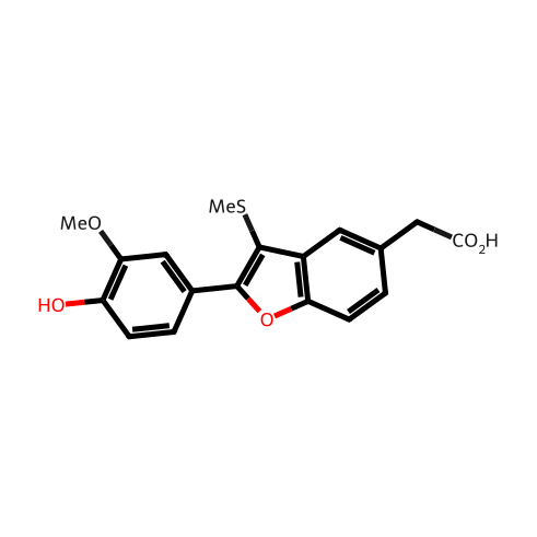 COc1cc(-c2oc3ccc(CC(=O)O)cc3c2SC)ccc1O